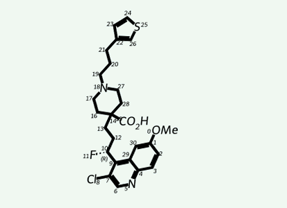 COc1ccc2ncc(Cl)c([C@H](F)CCC3(C(=O)O)CCN(CCCc4ccsc4)CC3)c2c1